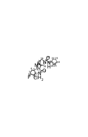 NC(=O)c1c(-c2ccc(F)c(Cl)c2)nn2c1CN(C(=O)NC13CCC(CC1)C3)CC2